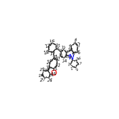 c1ccc(-n2c3ccccc3c3cc(-c4ccccc4-c4ccc5oc6ccccc6c5c4)ccc32)cc1